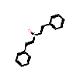 [O][SiH](C=Cc1ccccc1)C=Cc1ccccc1